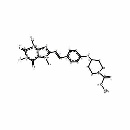 CCn1c(=O)c2c(nc(/C=C/c3ccc(OC4CCN(C(=O)OC(C)(C)C)CC4)cc3)n2C)n(CC)c1=O